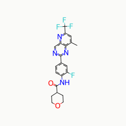 Cc1cc(C(F)(F)F)nc2cnc(-c3ccc(NC(=O)C4CCOCC4)c(F)c3)nc12